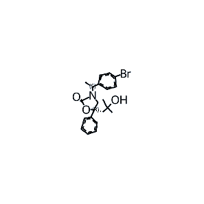 C[C@@H](c1ccc(Br)cc1)N1C[C@@](CC(C)(C)O)(c2ccccc2)OC1=O